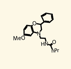 CCCC(=O)NCCN1CC(c2ccccc2)Oc2ccc(OC)cc21